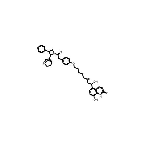 O=C(Cc1ccc(OCCCCCNCC(O)c2ccc(O)c3[nH]c(=O)ccc23)cc1)N1CC(c2ccccc2)C1C1CN2CCC1CC2